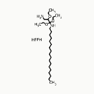 CCCCCCCCCCCCCCCCCCNC(OCC)(OCC)C(CN)OCC.F.F